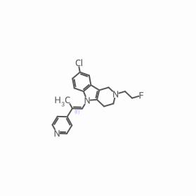 C/C(=C\n1c2c(c3cc(Cl)ccc31)CN(CCF)CC2)c1ccncc1